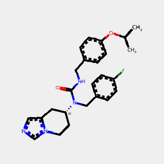 CC(C)Oc1ccc(CNC(=O)N(Cc2ccc(F)cc2)[C@@H]2CCn3cncc3C2)cc1